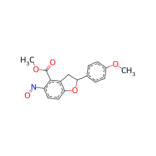 COC(=O)c1c(N=O)ccc2c1CC(c1ccc(OC)cc1)O2